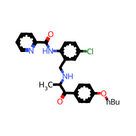 CCCCOc1ccc(C(=O)C(C)NCc2cc(Cl)ccc2NC(=O)c2ccccn2)cc1